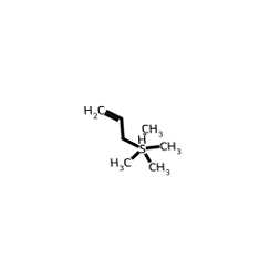 C=CC[SH](C)(C)(C)C